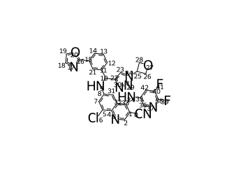 N#Cc1cnc2c(Cl)cc(N[C@@H](c3cccc(-c4ncco4)c3)c3cn(C4COC4)nn3)cc2c1Nc1cnc(F)c(F)c1